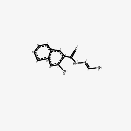 CCCCC=NNC(=O)c1cc2ccccc2cc1O